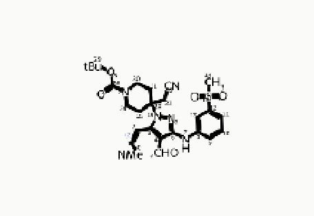 CN/C=C\c1c(C=O)c(Nc2cccc(S(C)(=O)=O)c2)nn1C1(CC#N)CCN(C(=O)OC(C)(C)C)CC1